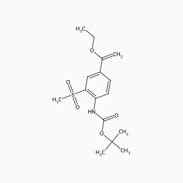 C=C(OCC)c1ccc(NC(=O)OC(C)(C)C)c(S(C)(=O)=O)c1